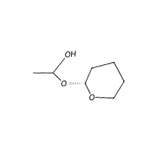 CC(O)O[C@@H]1CCCCO1